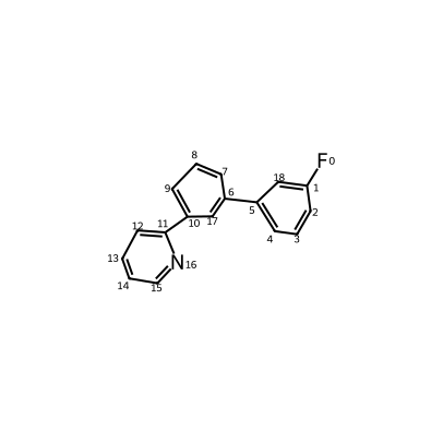 Fc1cccc(-c2cccc(-c3ccccn3)c2)c1